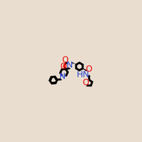 O=C1OC2(CCN(Cc3ccccc3)CC2)CN1C[C@H]1CC[C@H](C(=O)NCC2CCCO2)CC1